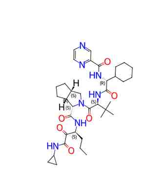 CCC[C@H](NC(=O)[C@@H]1[C@@H]2CCC[C@@H]2CN1C(=O)[C@@H](NC(=O)[C@H](NC(=O)c1cnccn1)C1CCCCC1)C(C)(C)C)C(=O)C(=O)NC1CC1